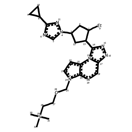 CCC1CC(n2cnc(C3CC3)n2)CC1c1nnc2cnc3c(ccn3COCC[Si](C)(C)C)n12